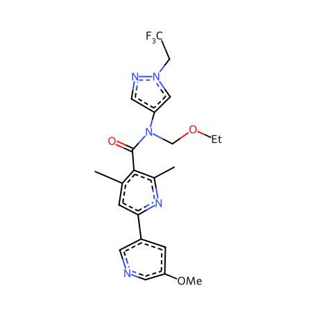 CCOCN(C(=O)c1c(C)cc(-c2cncc(OC)c2)nc1C)c1cnn(CC(F)(F)F)c1